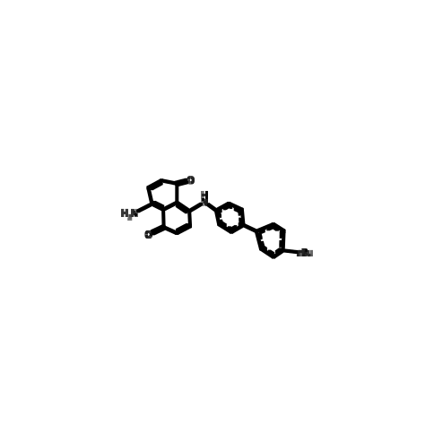 CCCCc1ccc(-c2ccc(NC3=C4C(=O)C=CC(N)=C4C(=O)C=C3)cc2)cc1